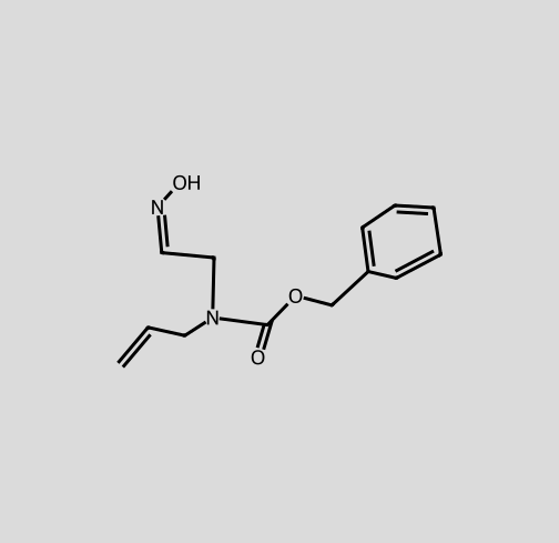 C=CCN(C/C=N\O)C(=O)OCc1ccccc1